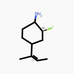 C/C=C(/C)C1CCC(N)[C@@H](F)C1